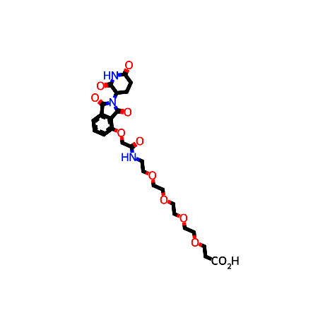 O=C(O)CCOCCOCCOCCOCCNC(=O)COc1cccc2c1C(=O)N(C1CCC(=O)NC1=O)C2=O